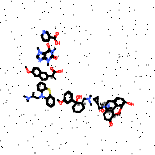 CC(CN1c2ccccc2Sc2ccccc21)N(C)C.COc1ccc2cc([C@H](C)C(=O)O)ccc2c1.COc1cccc([C@@]2(O)CCCC[C@@H]2CN(C)C)c1.Cn1c(=O)c2c(ncn2C)n(C)c1=O.O=C(O)c1cccnc1.O=C1CC[C@@]2(O)[C@H]3Cc4ccc(O)c5c4[C@@]2(CCN3CC2CC2)[C@H]1O5